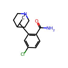 NC(=O)c1ccc(Cl)cc1C1CN2CCC1CC2